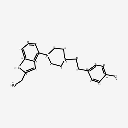 OCc1cc2c(N3CCN(CCc4ccc(Cl)cc4)CC3)cccc2s1